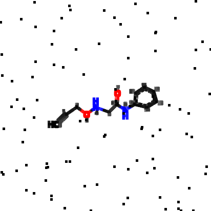 C#CCONCC(=O)Nc1ccccc1